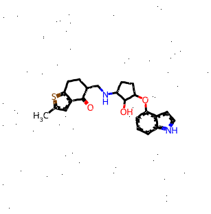 Cc1cc2c(s1)CCC(CNC1CCC(Oc3cccc4[nH]ccc34)C1O)C2=O